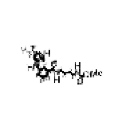 COC(=O)NCCCCNC(=O)c1cccc(Nc2cc(C)[nH]n2)c1